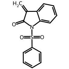 C=C1C(=O)N(S(=O)(=O)c2ccccc2)c2ccccc21